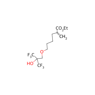 C=C(CCCCOCC(O)(C(F)(F)F)C(F)(F)F)C(=O)OCC